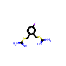 N=C(N)SCc1ccc(I)cc1CSC(=N)N